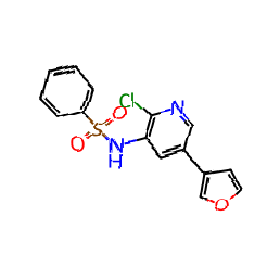 O=S(=O)(Nc1cc(-c2ccoc2)cnc1Cl)c1ccccc1